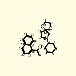 CC(O[C@H]1CCCC[C@@H]1N1CCC2(C1)OCCO2)c1cccc2ccccc12